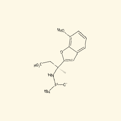 COc1cccc2cc([C@](C)(CC(=O)O)N[S+]([O-])C(C)(C)C)oc12